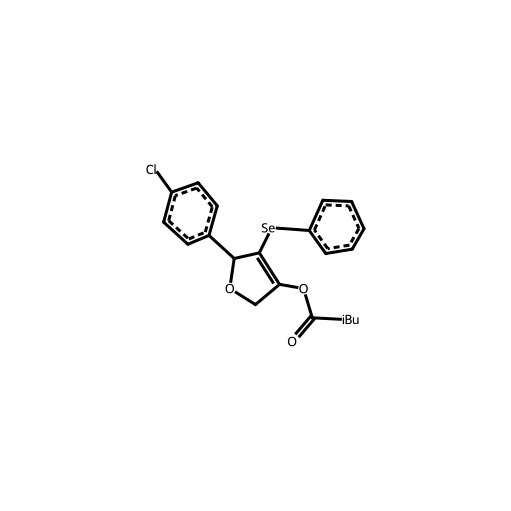 CCC(C)C(=O)OC1=C([Se]c2ccccc2)C(c2ccc(Cl)cc2)OC1